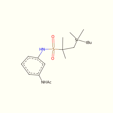 CC(=O)Nc1cccc(NS(=O)(=O)C(C)(C)C[Si](C)(C)C(C)(C)C)c1